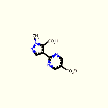 CCOC(=O)c1cnc(-c2cnn(C)c2C(=O)O)nc1